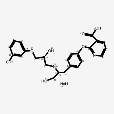 O=C(O)c1cccnc1Oc1ccc(C[C@@H](CO)NC[C@H](O)COc2cccc(Cl)c2)cc1.[NaH]